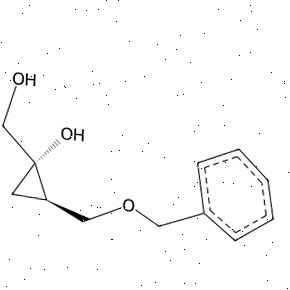 OC[C@]1(O)C[C@@H]1COCc1ccccc1